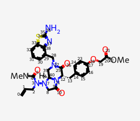 C=CCN(C(=O)NC)N1CC(=O)N2[C@@H](Cc3ccc(OCC(=O)OC)cc3)C(=O)N(Cc3cccc4sc(N)nc34)C[C@@H]21